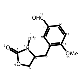 CCCN1C(=O)OCC1Cc1cc(C=O)ccc1OC